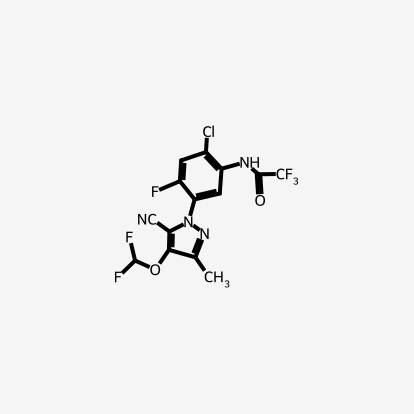 Cc1nn(-c2cc(NC(=O)C(F)(F)F)c(Cl)cc2F)c(C#N)c1OC(F)F